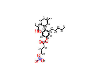 C=C(C)[C@@H]1CCC(C)=C[C@H]1c1c(O)cc(OC(=O)CCCO[N+](=O)[O-])cc1CCCCC